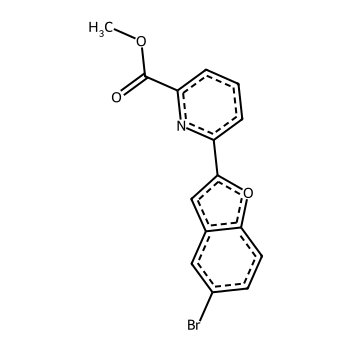 COC(=O)c1cccc(-c2cc3cc(Br)ccc3o2)n1